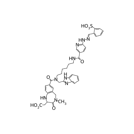 CN1Cc2cc(C(=O)N(CCCCCCNC(=O)c3ccc(NN=Cc4ccccc4S(=O)(=O)O)nc3)Cc3nc4ccccc4[nH]3)ccc2NC(CC(=O)O)C1=O